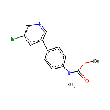 CN(C(=O)OC(C)(C)C)c1ccc(-c2cncc(Br)c2)cc1